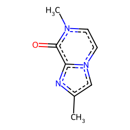 Cc1cn2ccn(C)c(=O)c2n1